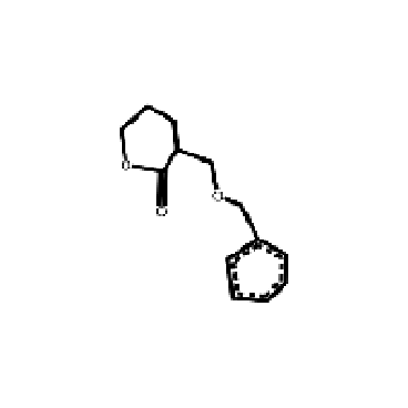 O=C1OCCCC1COCc1ccccc1